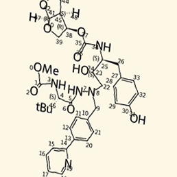 COC(=O)N[C@H](C(=O)NN(Cc1ccc(-c2ccccn2)cc1)C[C@H](O)[C@H](Cc1ccc(O)cc1)NC(=O)O[C@H]1CO[C@H]2OCC[C@H]21)C(C)(C)C